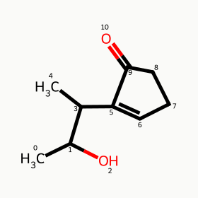 CC(O)C(C)C1=CCCC1=O